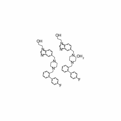 O.OCCn1cnc2cc(CN3CCN(Cc4ccccc4-c4ccc(F)cc4)CC3)ccc21.OCCn1cnc2cc(CN3CCN(Cc4ccccc4-c4ccc(F)cc4)CC3)ccc21